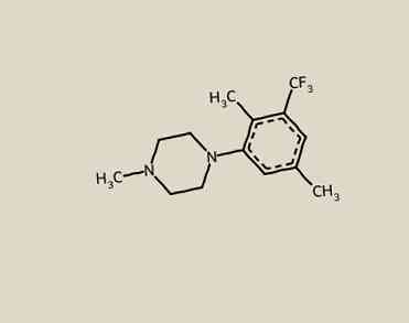 Cc1cc(N2CCN(C)CC2)c(C)c(C(F)(F)F)c1